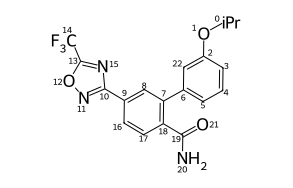 CC(C)Oc1cccc(-c2cc(-c3noc(C(F)(F)F)n3)ccc2C(N)=O)c1